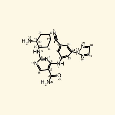 N#Cc1cc(Nc2nc(N[C@@H]3CCCC[C@@H]3N)ncc2C(N)=O)cc(-n2nccn2)c1